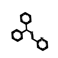 C(=N\C(c1ccccc1)c1ccccc1)/c1ccccn1